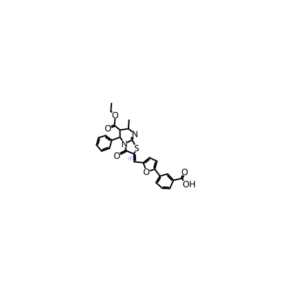 CCOC(=O)C1C(C)N=c2s/c(=C\c3ccc(-c4cccc(C(=O)O)c4)o3)c(=O)n2C1c1ccccc1